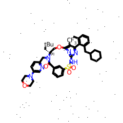 Cc1cccc(CC2CCCCC2)c1-c1nc2nc(c1C(F)(F)F)OC[C@@H](CC(C)(C)C)N(Cc1ccc(N3CCOCC3)cn1)C(=O)c1cccc(c1)S(=O)(=O)N2